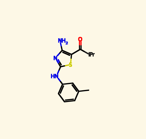 Cc1cccc(Nc2nc(N)c(C(=O)C(C)C)s2)c1